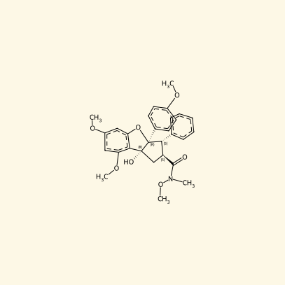 COc1ccc([C@@]23Oc4cc(OC)cc(OC)c4[C@]2(O)C[C@H](C(=O)N(C)OC)[C@H]3c2ccccc2)cc1